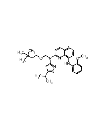 COc1ccccc1Nc1ccnc2ccc(N(COCC[Si](C)(C)C)c3nnc(C(C)C)s3)nc12